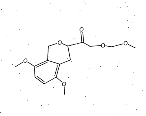 COCOCC(=O)C1Cc2c(OC)ccc(OC)c2CO1